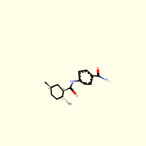 CC(C)[C@@H]1CC[C@@H](C)C[C@H]1C(=O)Nc1ccc(C(N)=O)cc1